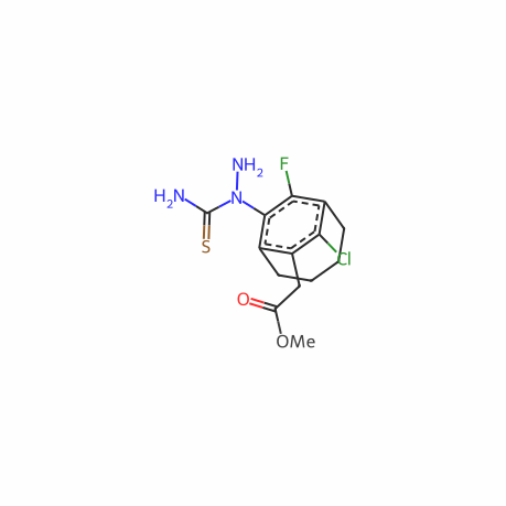 COC(=O)Cc1c(Cl)c2c(F)c(N(N)C(N)=S)c1CCCC2